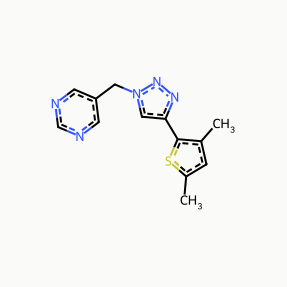 Cc1cc(C)c(-c2cn(Cc3cncnc3)nn2)s1